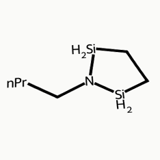 CCCCN1[SiH2]CC[SiH2]1